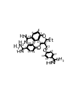 CCC(Oc1ccc(C(=N)N)cc1)C(COc1ccc(C(=N)N)cc1)COc1ccc(C(=N)N)cc1